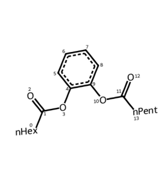 CCCCCCC(=O)Oc1ccccc1OC(=O)CCCCC